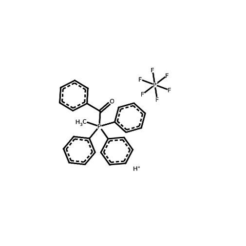 CP(C(=O)c1ccccc1)(c1ccccc1)(c1ccccc1)c1ccccc1.F[P-](F)(F)(F)(F)F.[H+]